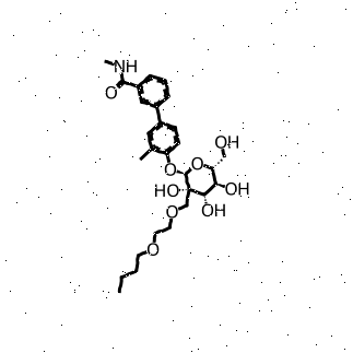 CCCCOCCOC[C@@]1(O)[C@@H](Oc2ccc(-c3cccc(C(=O)NC)c3)cc2C)O[C@H](CO)[C@@H](O)[C@@H]1O